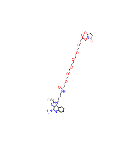 CCCCc1nc2c(N)nc3ccccc3c2n1CCCCNC(=O)CCOCCOCCOCCOCCOCCOCCC(=O)ON1C(=O)CCC1=O